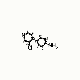 Nc1ccc(-c2ccncc2Cl)cc1